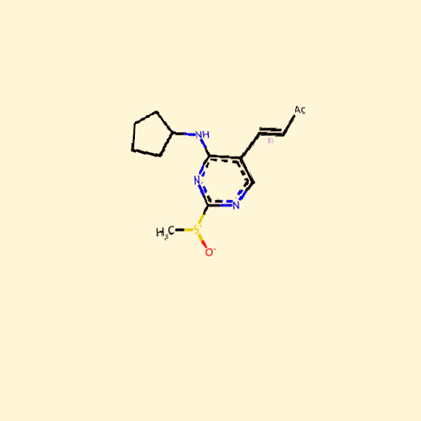 CC(=O)/C=C/c1cnc([S+](C)[O-])nc1NC1CCCC1